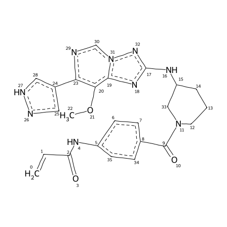 C=CC(=O)Nc1ccc(C(=O)N2CCCC(Nc3nc4c(OC)c(-c5cn[nH]c5)ncn4n3)C2)cc1